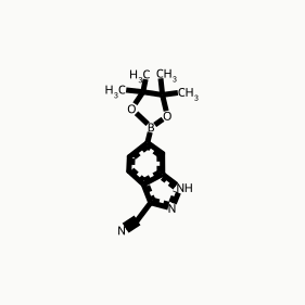 CC1(C)OB(c2ccc3c(C#N)n[nH]c3c2)OC1(C)C